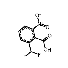 O=C(O)c1c(C(F)F)cccc1[N+](=O)[O-]